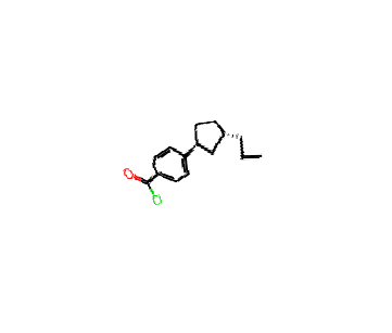 CCC[C@H]1CC[C@H](c2ccc(C(=O)Cl)cc2)C1